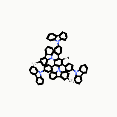 N#Cc1c(-c2ccc(-n3c4ccccc4c4ccccc43)cc2)c(-n2c3ccccc3c3cc(C(F)(F)F)ccc32)c(-c2ccc(-n3c4ccccc4c4ccccc43)cc2)c(-n2c3ccccc3c3cc(C(F)(F)F)ccc32)c1-c1ccc(-n2c3ccccc3c3ccccc32)cc1